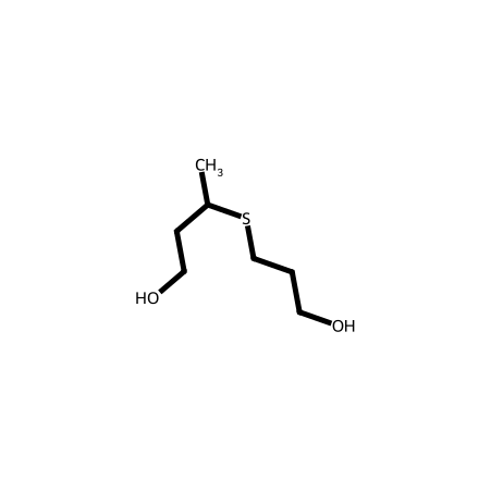 CC(CCO)SCCCO